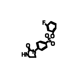 O=C1NCCN1c1ccc(S(=O)(=O)Oc2cccc(F)c2)cc1